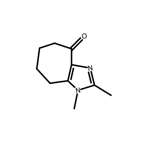 Cc1nc2c(n1C)CCCCC2=O